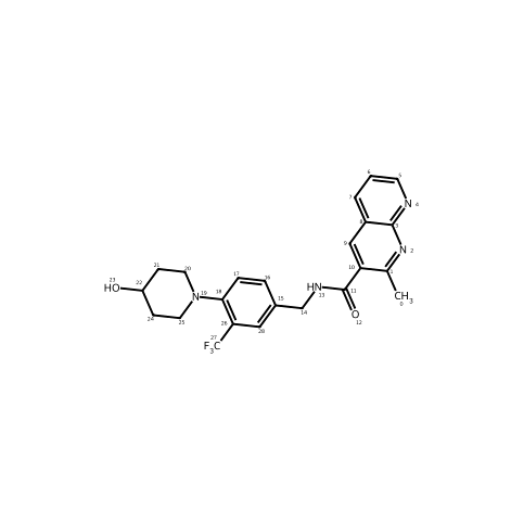 Cc1nc2ncccc2cc1C(=O)NCc1ccc(N2CCC(O)CC2)c(C(F)(F)F)c1